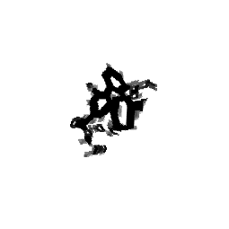 CCCCCCCCCCOC1(c2ccccc2-c2ccc(C(=O)OC[C@@H](C)CC)cc2F)C=CC(C(=O)O)C=C1F